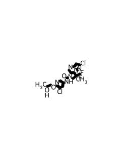 C[C@H](O)COc1ncc(NC(=O)N2C[C@@](C)(C(F)(F)F)c3c2cnc2cc(Cl)nn32)cc1Cl